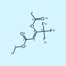 CCOC(=O)C=C(OC(C)=O)C(F)(F)F